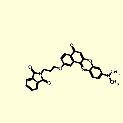 CN(C)c1ccc2nc3c4cc(OCCCN5C(=O)c6ccccc6C5=O)ccc4c(=O)cc-3oc2c1